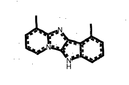 Cc1cccc2[nH]c3c(nc4c(C)cccn43)c12